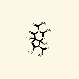 CC1=NC2(C)N(C(N)=O)C(C)=NC2(C)C(=O)N1C(N)=O